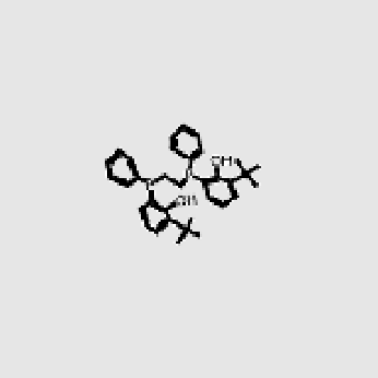 CC(C)(C)c1cccc(P(CCP(c2ccccc2)c2cccc(C(C)(C)C)c2O)c2ccccc2)c1O